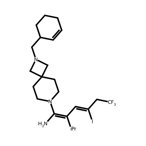 CC(C)C(/C=C(\I)CC(F)(F)F)=C(\N)N1CCC2(CC1)CN(CC1C=CCCC1)C2